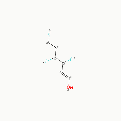 OC=CC(F)C(F)CCF